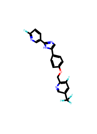 Fc1ccc(-c2ncc(-c3ccc(OCc4ncc(C(F)(F)F)cc4F)cc3)[nH]2)cn1